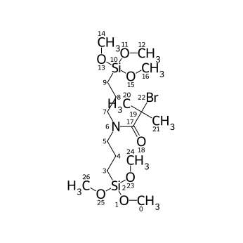 CO[Si](CCCN(CCC[Si](OC)(OC)OC)C(=O)C(C)(C)Br)(OC)OC